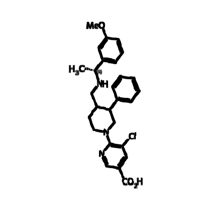 COc1cccc([C@@H](C)NCC2CCN(c3ncc(C(=O)O)cc3Cl)CC2c2ccccc2)c1